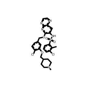 Cc1c(Cl)cccc1S(=O)(=O)Nc1cc2nccnc2nc1OCc1ccc(Cl)c(OCC2CCN(C)CC2)c1